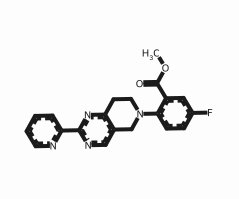 COC(=O)c1cc(F)ccc1N1CCc2nc(-c3ccccn3)ncc2C1